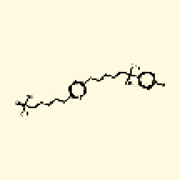 CC(C)(CCCCSc1ccc(CNCCCP(=O)(O)O)nc1)c1ccc(F)cc1